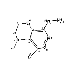 CN1CCOc2c(NN)nnc(Cl)c21